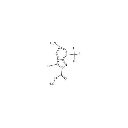 COC(=O)c1nc2c(C(F)(F)F)cc(N)cn2c1Cl